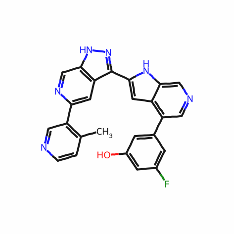 Cc1ccncc1-c1cc2c(-c3cc4c(-c5cc(O)cc(F)c5)cncc4[nH]3)n[nH]c2cn1